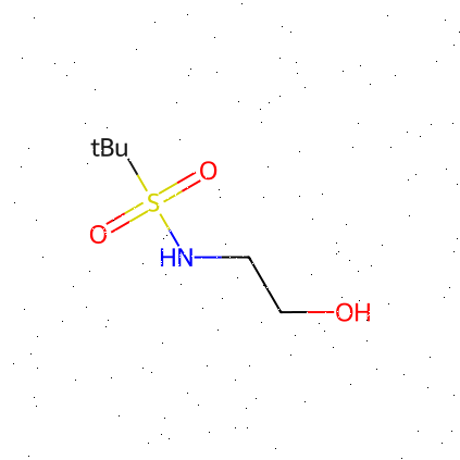 CC(C)(C)S(=O)(=O)NCCO